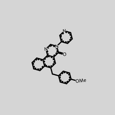 COc1ccc(Cc2cc3c(=O)n(-c4cccnc4)cnc3c3ccccc23)cc1